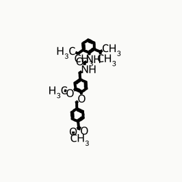 COC(=O)c1ccc(COc2ccc(CNC(=O)Nc3c(C(C)C)cccc3C(C)C)cc2OC)cc1